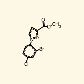 COC(=O)c1ccn(-c2ccc(Cl)cc2Br)n1